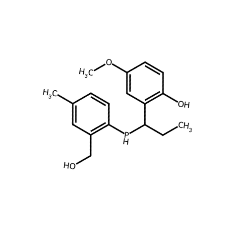 CCC(Pc1ccc(C)cc1CO)c1cc(OC)ccc1O